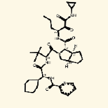 CCC[C@H](NC(=O)[C@@H]1[C@H]2CCC[C@H]2CN1C(=O)[C@@H](NC(=O)[C@@H](NC(=O)c1ccccn1)C1CCCCC1)C(C)(C)C)C(=O)C(=O)NC1CC1